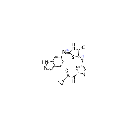 O=C1N/C(=N/c2ccc3cn[nH]c3c2)S/C1=C\c1cnc(NC(=O)C2CC2)s1